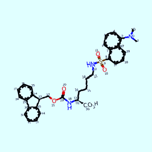 CN(C)c1cccc2c(S(=O)(=O)NCCCC[C@H](NC(=O)OCC3c4ccccc4-c4ccccc43)C(=O)O)cccc12